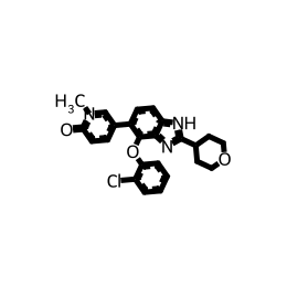 Cn1cc(-c2ccc3[nH]c(C4CCOCC4)nc3c2Oc2ccccc2Cl)ccc1=O